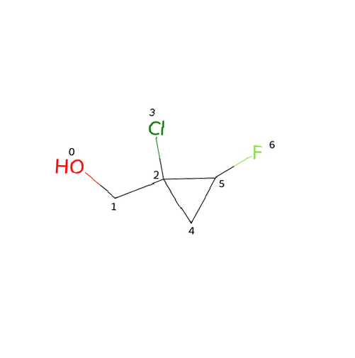 OCC1(Cl)CC1F